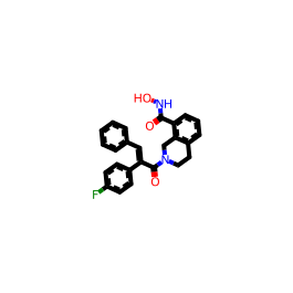 O=C(NO)c1cccc2c1CN(C(=O)C(=Cc1ccccc1)c1ccc(F)cc1)CC2